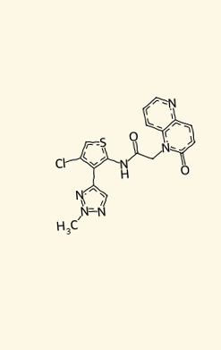 Cn1ncc(-c2c(Cl)csc2NC(=O)Cn2c(=O)ccc3ncccc32)n1